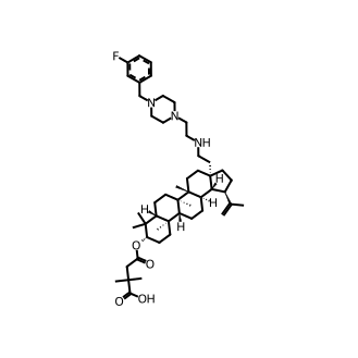 C=C(C)[C@@H]1CC[C@]2(CCNCCN3CCN(Cc4cccc(F)c4)CC3)CC[C@]3(C)[C@H](CC[C@@H]4[C@@]5(C)CC[C@H](OC(=O)CC(C)(C)C(=O)O)C(C)(C)[C@@H]5CC[C@]43C)[C@@H]12